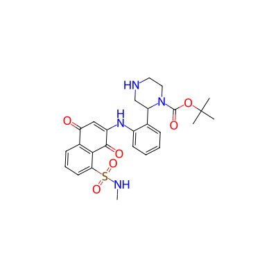 CNS(=O)(=O)c1cccc2c1C(=O)C(Nc1ccccc1C1CNCCN1C(=O)OC(C)(C)C)=CC2=O